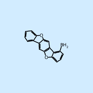 Bc1cccc2oc3cc4c(cc3c12)oc1ccccc14